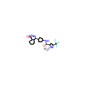 Cn1nc(C(F)(F)F)cc1C(=O)Nc1ccc(-c2n[nH]c(=O)c3ccccc23)cc1